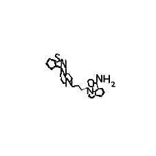 NC(=O)c1cccc2ccn(CCCCN3CCN(c4nsc5ccccc45)CC3)c12